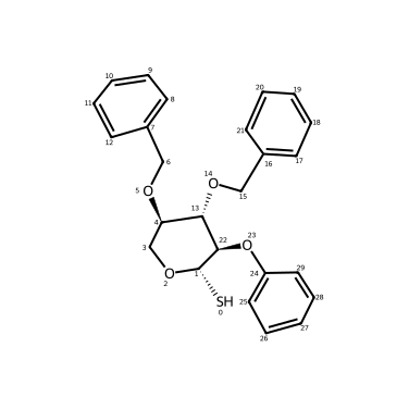 S[C@@H]1OC[C@@H](OCc2ccccc2)[C@H](OCc2ccccc2)[C@H]1Oc1ccccc1